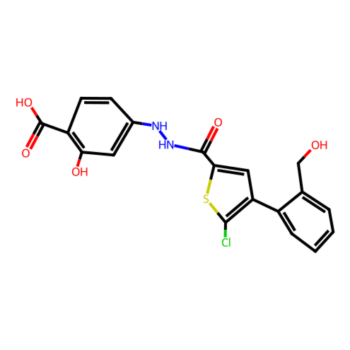 O=C(NNc1ccc(C(=O)O)c(O)c1)c1cc(-c2ccccc2CO)c(Cl)s1